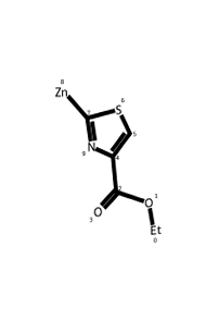 CCOC(=O)c1cs[c]([Zn])n1